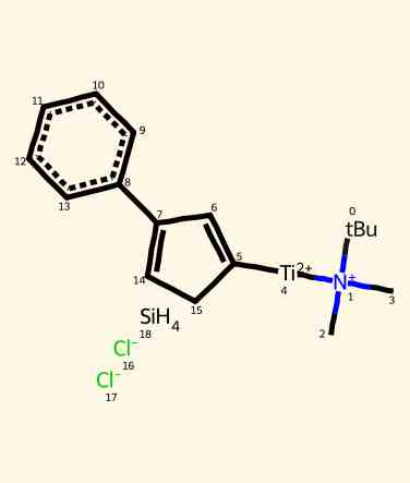 CC(C)(C)[N+](C)(C)[Ti+2][C]1=CC(c2ccccc2)=CC1.[Cl-].[Cl-].[SiH4]